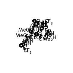 CCS(=O)(=O)c1cccnc1S(=O)(=O)NC(=O)Nc1nc(OC)cc(OC)n1.CCc1ccc(COc2ccc(-n3c(=O)cc(C(F)(F)F)n(C)c3=O)cc2)c(OC(C)C(=O)OC)c1.COc1nc(C)nc(NC(=O)NS(=O)(=O)c2ccccc2CCC(F)(F)F)n1.C[S+](C)C.O=C(O)CNCP(=O)([O-])O